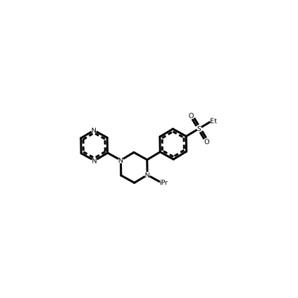 CCS(=O)(=O)c1ccc(C2CN(c3cnccn3)CCN2C(C)C)cc1